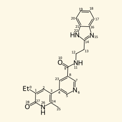 CCc1cc(-c2cncc(C(=O)NCCc3nc4ccccc4[nH]3)c2)c(C)[nH]c1=O